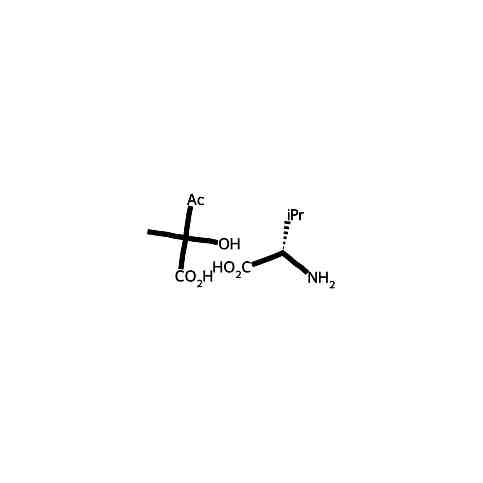 CC(=O)C(C)(O)C(=O)O.CC(C)[C@H](N)C(=O)O